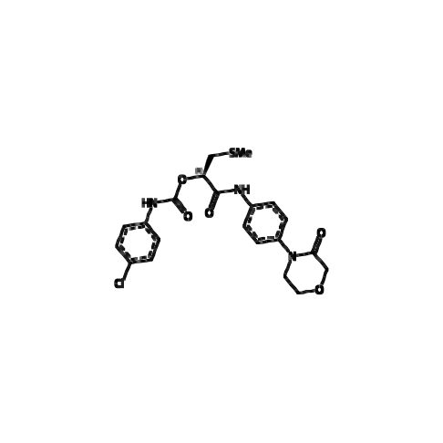 CSC[C@H](OC(=O)Nc1ccc(Cl)cc1)C(=O)Nc1ccc(N2CCOCC2=O)cc1